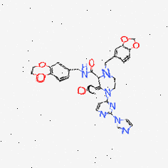 O=C=C1C(C(=O)NCc2ccc3c(c2)OCCO3)N(Cc2ccc3c(c2)OCO3)CCN1c1ccnc(-n2ccnc2)n1